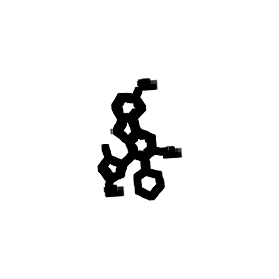 CC1C=C(C(C)(C)C)C=C1c1c2c(cc(C(C)(C)C)c1=C1CCCCC1)=c1cc(C(C)(C)C)ccc1=[C]2